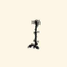 O=C(COCCOCCNC(=O)COCCOCCOCC(=O)NCc1cccc(C2C(CCC(O)c3ccc(F)cc3)C(=O)N2c2ccc(F)cc2)c1)CC(O)C(O)C(O)C(O)O